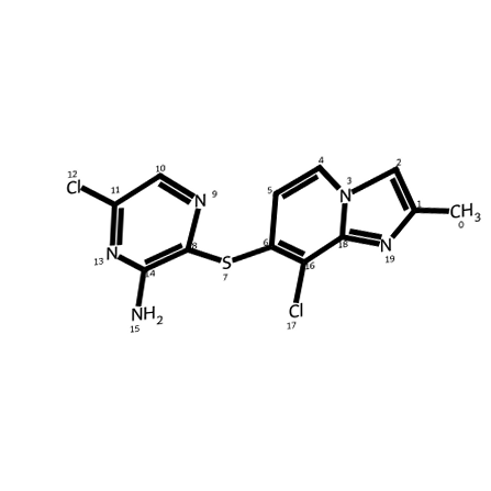 Cc1cn2ccc(Sc3ncc(Cl)nc3N)c(Cl)c2n1